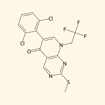 CSc1ncc2c(=O)c(-c3c(Cl)cccc3Cl)cn(CC(F)(F)F)c2n1